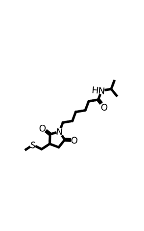 CSCC1CC(=O)N(CCCCCC(=O)NC(C)C)C1=O